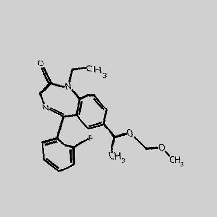 CCN1C(=O)CN=C(c2ccccc2F)c2cc(C(C)OCOC)ccc21